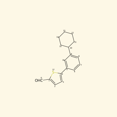 O=Cc1ccc(-c2cccc(C3CCCCC3)c2)s1